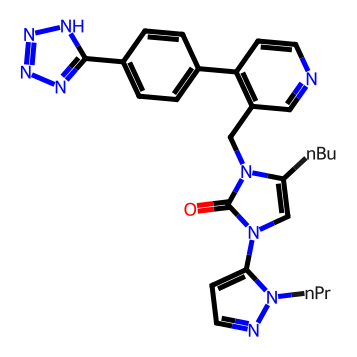 CCCCc1cn(-c2ccnn2CCC)c(=O)n1Cc1cnccc1-c1ccc(-c2nnn[nH]2)cc1